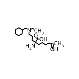 CCN(CCCC(N)(CCCCB(C)O)C(=O)O)CC1CCCCC1